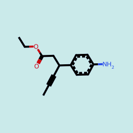 CC#CC(CC(=O)OCC)c1ccc(N)cc1